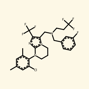 Cc1cc(C)c(N2CCCn3c2nc(C(F)(F)F)c3CN(CCC(F)(F)F)Cc2cccc(F)c2)c(Cl)c1